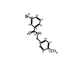 Cc1ccc(CNC(=O)c2cccc(Br)c2)cc1